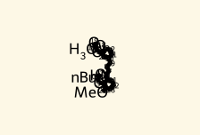 CCCCC(=O)Oc1c(NCCCc2cccc(OS(C)(=O)=O)c2)cccc1OC